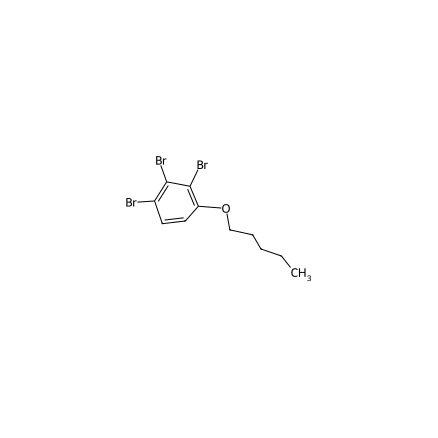 CCCCCOc1ccc(Br)c(Br)c1Br